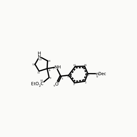 CCCCCCCCCCc1ccc(C(=O)NC2(CC(=O)OCC)CCNC2)cc1